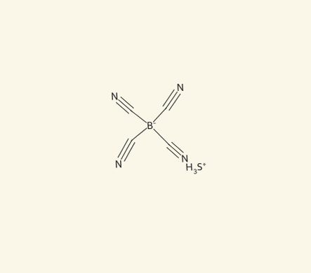 N#C[B-](C#N)(C#N)C#N.[SH3+]